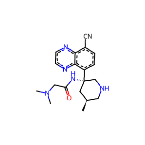 C[C@@H]1CNC[C@](NC(=O)CN(C)C)(c2ccc(C#N)c3nccnc23)C1